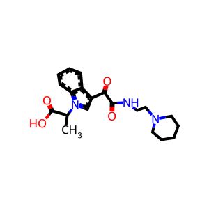 CC(C(=O)O)n1cc(C(=O)C(=O)NCCN2CCCCC2)c2ccccc21